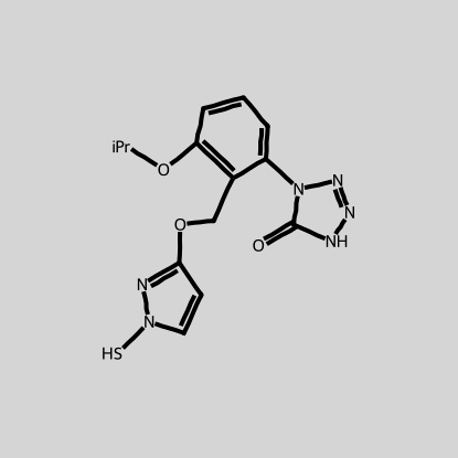 CC(C)Oc1cccc(-n2nn[nH]c2=O)c1COc1ccn(S)n1